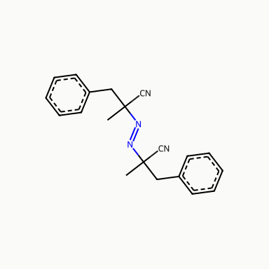 CC(C#N)(Cc1ccccc1)N=NC(C)(C#N)Cc1ccccc1